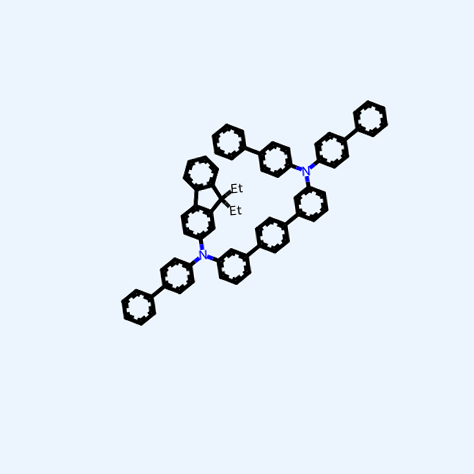 CCC1(CC)c2ccccc2-c2ccc(N(c3ccc(-c4ccccc4)cc3)c3cccc(-c4ccc(-c5cccc(N(c6ccc(-c7ccccc7)cc6)c6ccc(-c7ccccc7)cc6)c5)cc4)c3)cc21